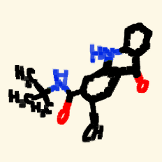 C#Cc1cc2c(=O)c3ccccc3[nH]c2cc1C(=O)NC(C)(C)C